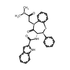 CN(C)C(=O)CN1C(=O)[C@@H](NC(=O)c2cc3ccccc3[nH]2)[C@H](c2ccccc2)Sc2ccccc21